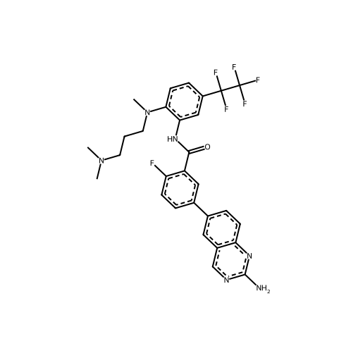 CN(C)CCCN(C)c1ccc(C(F)(F)C(F)(F)F)cc1NC(=O)c1cc(-c2ccc3nc(N)ncc3c2)ccc1F